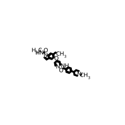 CCc1cc2c(ccn2C(=O)NC)cc1Oc1ccnc(NC(=O)c2ccc(C3CCN(C)CC3)cc2)c1